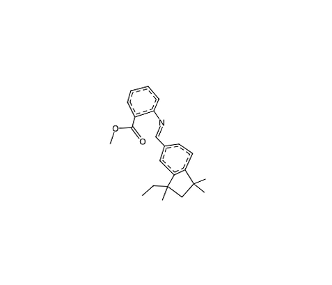 CCC1(C)CC(C)(C)c2ccc(C=Nc3ccccc3C(=O)OC)cc21